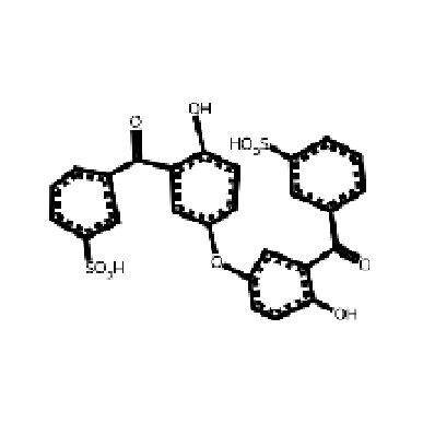 O=C(c1cccc(S(=O)(=O)O)c1)c1cc(Oc2ccc(O)c(C(=O)c3cccc(S(=O)(=O)O)c3)c2)ccc1O